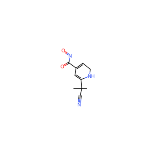 CC(C)(C#N)C1=CC(C(=O)N=O)=CCN1